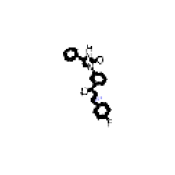 O=C(/C=C/c1ccc(F)cc1)c1cccc(-n2cc(-c3ccccc3)[nH]c2=O)c1